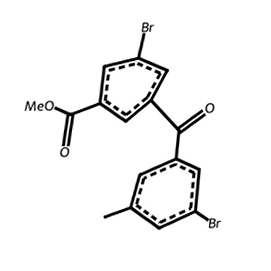 COC(=O)c1cc(Br)cc(C(=O)c2cc(C)cc(Br)c2)c1